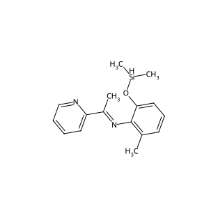 CC(=Nc1c(C)cccc1O[SiH](C)C)c1ccccn1